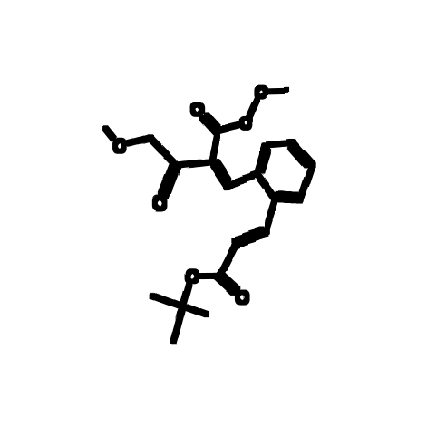 COCC(=O)C(=Cc1ccccc1C=CC(=O)OC(C)(C)C)C(=O)OOC